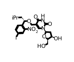 CC(C)C[C@H](OCc1cn([C@H]2C[C@@H](O)[C@@H](CO)O2)c(=O)[nH]c1=O)c1ccc(I)cc1[N+](=O)[O-]